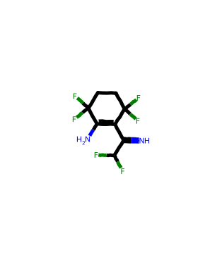 N=C(C1=C(N)C(F)(F)CCC1(F)F)C(F)F